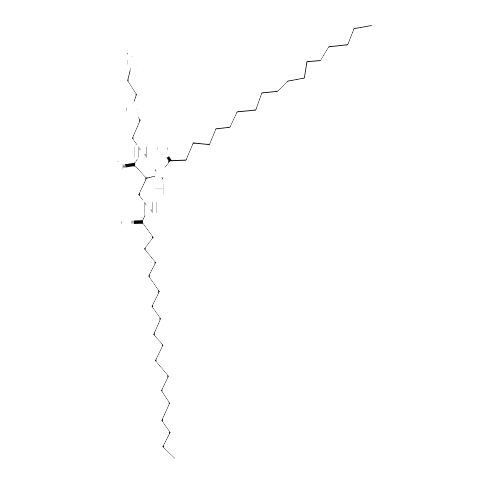 CCCCCCCCCCCCCCCCCC(=O)NCC(NC(=O)CCCCCCCCCCCCCCCCC)C(=O)NCCOCCOC